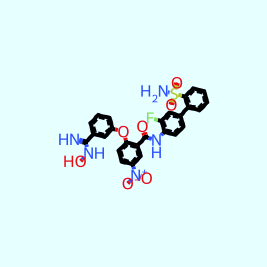 N=C(NO)c1cccc(Oc2ccc([N+](=O)[O-])cc2C(=O)Nc2ccc(-c3ccccc3S(N)(=O)=O)cc2F)c1